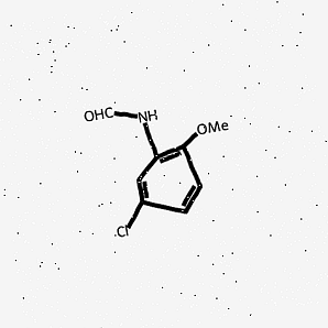 COc1ccc(Cl)cc1NC=O